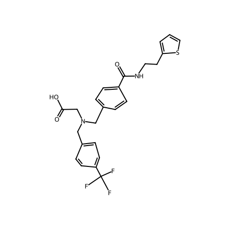 O=C(O)CN(Cc1ccc(C(=O)NCCc2cccs2)cc1)Cc1ccc(C(F)(F)F)cc1